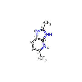 FC(F)(F)c1ccc2nc(C(F)(F)F)[nH]c2n1